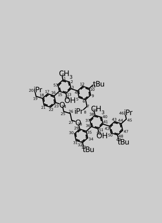 Cc1cc(-c2cc(CC(C)C)cc(C(C)(C)C)c2)c(O)c(-c2cc(CC(C)C)ccc2OCCCOc2ccc(C(C)(C)C)cc2-c2cc(C)cc(-c3cc(CC(C)C)cc(C(C)(C)C)c3)c2O)c1